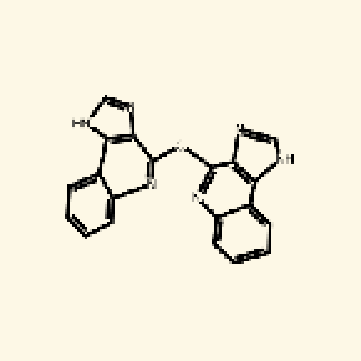 c1ccc2c(c1)nc(Oc1nc3ccccc3c3[nH]cnc13)c1nc[nH]c12